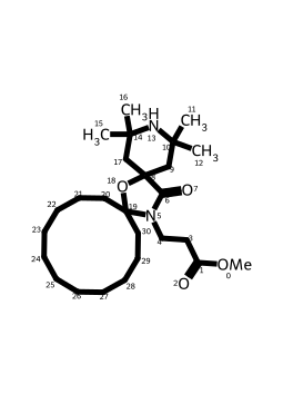 COC(=O)CCN1C(=O)C2(CC(C)(C)NC(C)(C)C2)OC12CCCCCCCCCCC2